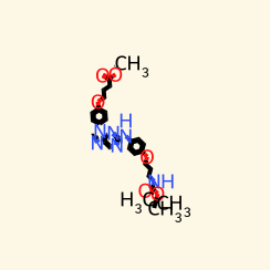 CCOC(=O)CCCOc1ccc(-n2cnc3cnc(Nc4ccc(OCCCNC(=O)OC(C)(C)C)cc4)nc32)cc1